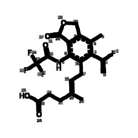 C=C(F)c1c(C)c2c(c(NC(=O)C(F)(F)F)c1C/C=C(\C)CCC(=O)O)C(=O)OC2